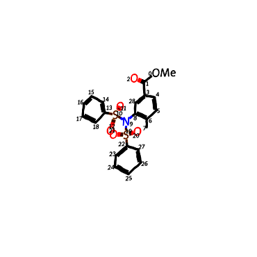 COC(=O)c1ccc(C)c(N(S(=O)(=O)c2ccccc2)S(=O)(=O)c2ccccc2)c1